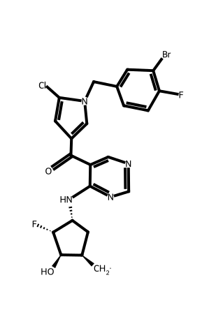 [CH2][C@@H]1C[C@@H](Nc2ncncc2C(=O)c2cc(Cl)n(Cc3ccc(F)c(Br)c3)c2)[C@@H](F)[C@@H]1O